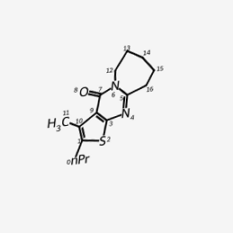 CCCc1sc2nc3n(c(=O)c2c1C)CCCCC3